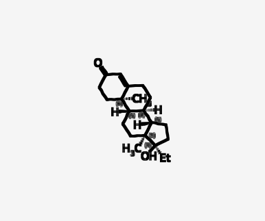 CC[C@@]1(O)CC[C@H]2[C@@H]3CCC4=CC(=O)CC[C@]4(C)[C@H]3CC[C@@]21C